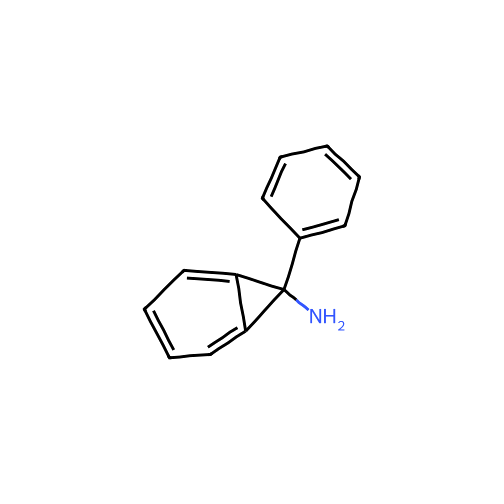 NC1(c2ccccc2)c2ccccc21